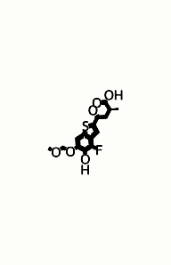 COCOc1cc2sc(C(=O)C[C@H](C)C(=O)O)cc2c(F)c1O